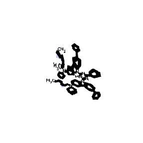 C=C/C=C\C=C/CN(C1=Cc2c(n(C3=NC(c4ccccc4)=NC(n4c5ccc(-c6ccccc6)cc5c5cc(N(c6ccccc6)C(C)/C=C\C=C/C)ccc54)N3)c3ccc(-c4ccccc4)cc23)CC1)C1C=CC=CC1